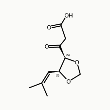 CC(C)=C[C@@H]1OCO[C@@H]1C(=O)CC(=O)O